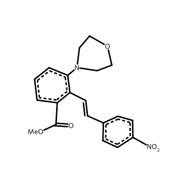 COC(=O)c1cccc(N2CCOCC2)c1C=Cc1ccc([N+](=O)[O-])cc1